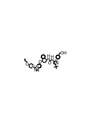 C=CCOC1CCN(c2nnc3ccc(O[C@@H]4CC[C@H](NC(=O)Nc5cc(C(C)(C)C)nn5-c5ccc(CO)cc5)c5ccccc54)cn23)CC1